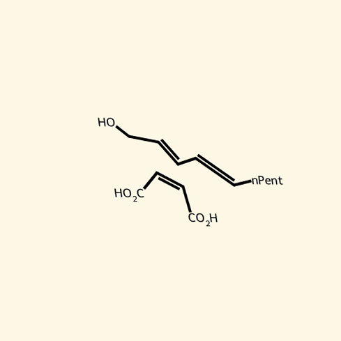 CCCCCC=CC=CCO.O=C(O)/C=C\C(=O)O